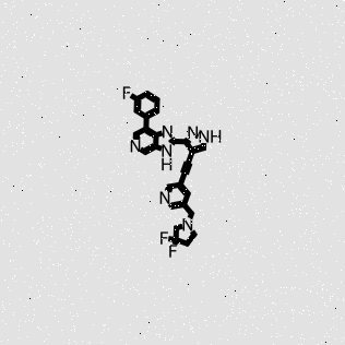 Fc1cccc(-c2cncc3[nH]c(-c4n[nH]cc4C#Cc4cncc(CN5CCC(F)(F)C5)c4)nc23)c1